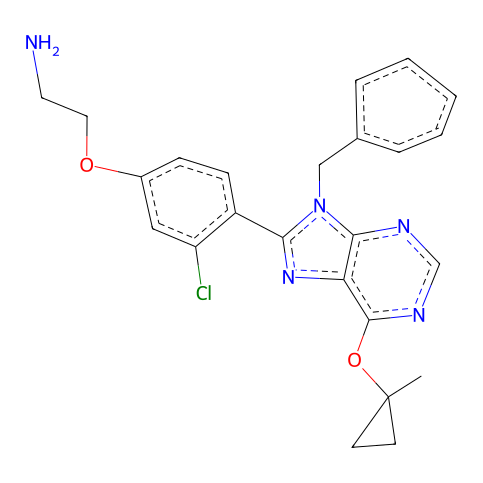 CC1(Oc2ncnc3c2nc(-c2ccc(OCCN)cc2Cl)n3Cc2ccccc2)CC1